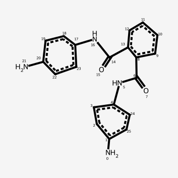 Nc1ccc(NC(=O)c2ccccc2C(=O)Nc2ccc(N)cc2)cc1